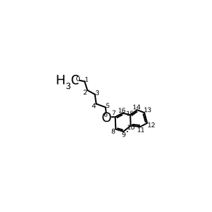 CCCCCCOc1c[c]c2ccccc2c1